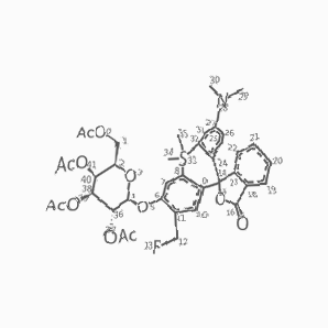 CC(=O)OC[C@H]1O[C@@H](Oc2cc3c(cc2CF)C2(OC(=O)c4ccccc42)c2ccc(N(C)C)cc2S3(C)C)[C@H](OC(C)=O)[C@@H](OC(C)=O)[C@H]1OC(C)=O